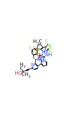 C[C@H]1CC(F)(F)c2c1c(C(F)F)nn2CC(=O)N[C@@H](Cc1cc(F)cc(F)c1)c1nc(C#CC(C)(C)O)ccc1-c1cccn2c(NCC(F)(F)F)nnc12